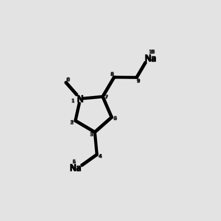 CN1CC([CH2][Na])CC1C[CH2][Na]